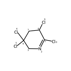 ClC1=NCC(Cl)(Cl)CC1Cl